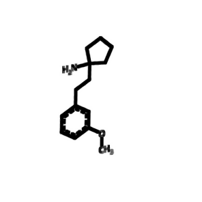 COc1cccc(CCC2(N)CCCC2)c1